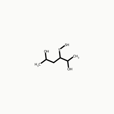 CC(O)CC(SS)C(C)O